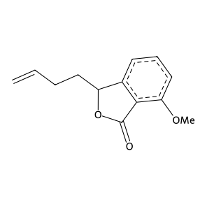 C=CCCC1OC(=O)c2c(OC)cccc21